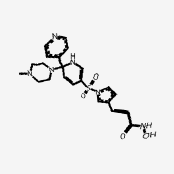 CN1CCN(C2(c3ccncc3)C=CC(S(=O)(=O)n3ccc(/C=C/C(=O)NO)c3)=CN2)CC1